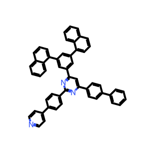 c1ccc(-c2ccc(-c3cc(-c4cc(-c5cccc6ccccc56)cc(-c5cccc6ccccc56)c4)nc(-c4ccc(-c5ccncc5)cc4)n3)cc2)cc1